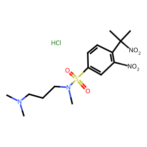 CN(C)CCCN(C)S(=O)(=O)c1ccc(C(C)(C)[N+](=O)[O-])c([N+](=O)[O-])c1.Cl